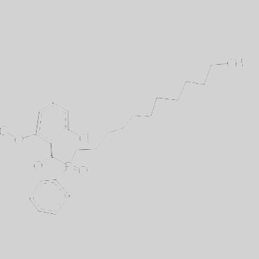 CCCCCCCCCCCCP(=O)(C(=O)c1c(Cl)cccc1OC)c1ccccc1